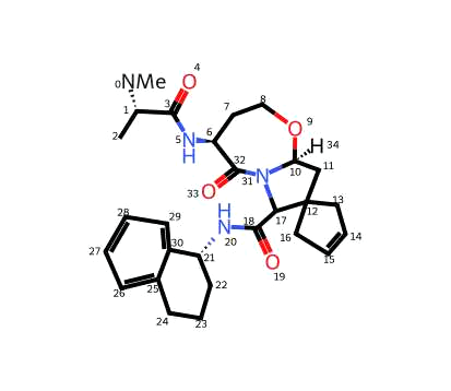 CN[C@@H](C)C(=O)N[C@H]1CCO[C@H]2CC3(CC=CC3)C(C(=O)N[C@@H]3CCCc4ccccc43)N2C1=O